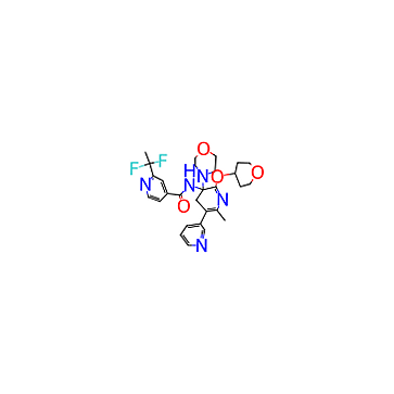 CC1=C(c2cccnc2)CC(NC(=O)c2ccnc(C(C)(F)F)c2)(N2CCOCC2)C(OC2CCOCC2)=N1